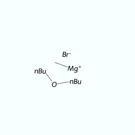 CCCCOCCCC.[Br-].[CH3][Mg+]